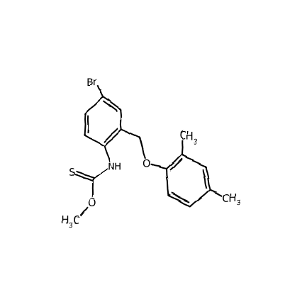 COC(=S)Nc1ccc(Br)cc1COc1ccc(C)cc1C